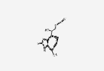 [N-]=[N+]=NC[C@H](O)c1ccc(O)c2[nH]c(=O)sc12